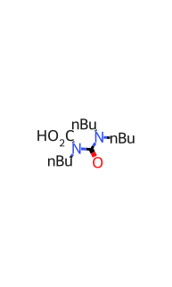 CCCCN(CCCC)C(=O)N(CCCC)C(=O)O